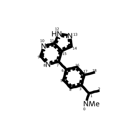 CNC(C)c1ccc(-c2ncnc3[nH]ncc23)cc1C